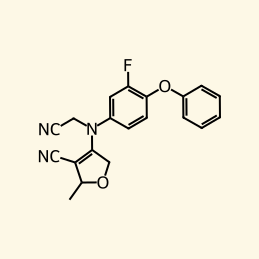 CC1OCC(N(CC#N)c2ccc(Oc3ccccc3)c(F)c2)=C1C#N